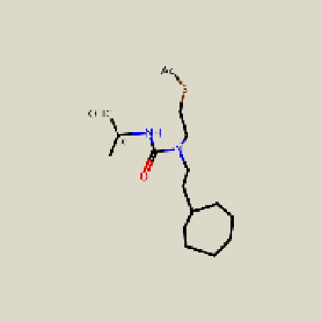 CC(=O)SCCN(CCC1CCCCCC1)C(=O)N[C@@H](C)C=O